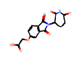 O=C(O)COc1ccc2c(c1)C(=O)N(C1CCC(=O)NC1=O)C2=O